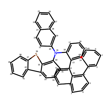 c1ccc(-c2cccc3cccc(-c4ccccc4N(c4ccc5ccccc5c4)c4cccc5c4sc4ccccc45)c23)cc1